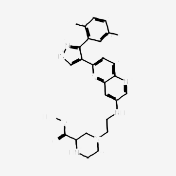 COC(=O)C1CN(CCNc2cnc3ccc(-c4c[nH]nc4-c4cc(Cl)ccc4F)nc3c2)CCN1